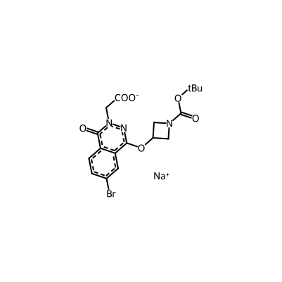 CC(C)(C)OC(=O)N1CC(Oc2nn(CC(=O)[O-])c(=O)c3ccc(Br)cc23)C1.[Na+]